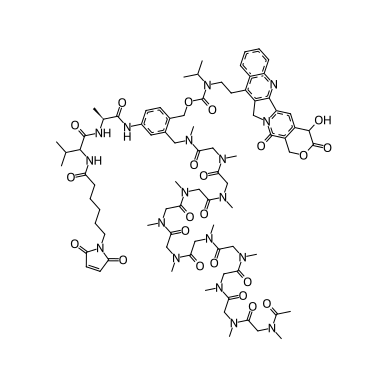 CC(=O)N(C)CC(=O)N(C)CC(=O)N(C)CC(=O)N(C)CC(=O)N(C)CC(=O)N(C)CC(=O)N(C)CC(=O)N(C)CC(=O)N(C)CC(=O)N(C)CC(=O)N(C)Cc1cc(NC(=O)[C@H](C)NC(=O)C(NC(=O)CCCCCN2C(=O)C=CC2=O)C(C)C)ccc1COC(=O)N(CCc1c2c(nc3ccccc13)-c1cc3c(c(=O)n1C2)COC(=O)C3O)C(C)C